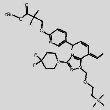 C/C=C(\C=C/C(C)c1ccc(OCC(C)(C)C(=O)OC(C)(C)C)nc1)c1nc(N2CCC(F)(F)CC2)nn1COCC[Si](C)(C)C